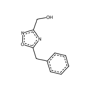 OCc1noc(Cc2ccccc2)n1